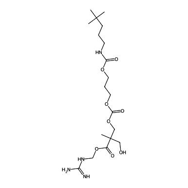 CC(C)(C)CCCNC(=O)OCCCOC(=O)OCC(C)(CO)C(=O)OCNC(=N)N